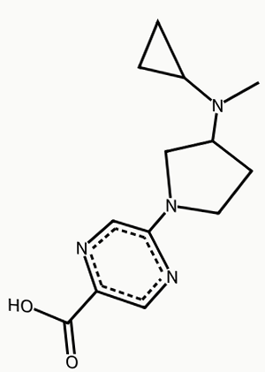 CN(C1CC1)C1CCN(c2cnc(C(=O)O)cn2)C1